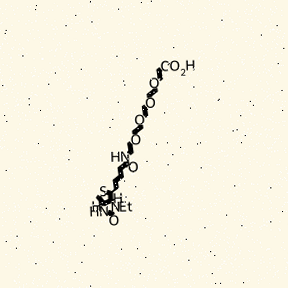 CCN1C(=O)N[C@H]2CS[C@@H](CCCCC(=O)NCCOCCOCCOCCOCCC(=O)O)[C@H]21